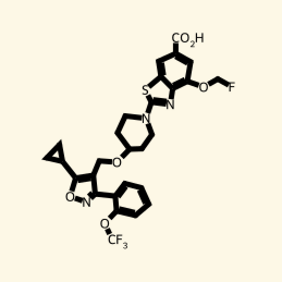 O=C(O)c1cc(OCF)c2nc(N3CCC(OCc4c(-c5ccccc5OC(F)(F)F)noc4C4CC4)CC3)sc2c1